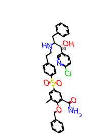 Cc1cc(S(=O)(=O)c2ccc(CCNC(Cc3ccccc3)[C@H](O)c3ccc(Cl)nc3)cc2)cc(C(N)=O)c1OCc1ccccc1